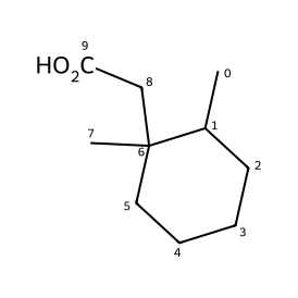 CC1CCCCC1(C)CC(=O)O